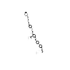 C=CC(=O)Oc1ccc(-c2ccc(C(=O)Oc3ccc(OC(=O)CCc4ccc(OCCCOCC5CCC6OC6C5)cc4)c(C=N)c3)cc2)cc1